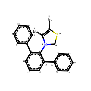 CCC1=C(CC)N(c2c(-c3ccccc3)cccc2-c2ccccc2)[C]S1